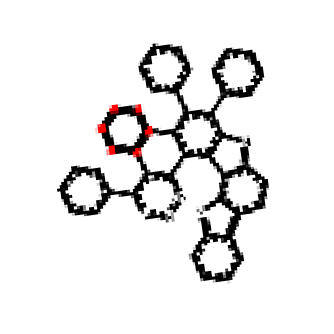 c1ccc(-c2nnnc(-c3c4c(c(-c5ccccc5)c(-c5ccccc5)c3-c3ccccc3)N=c3ccc5c(c3-4)N=c3ccccc3=5)c2-c2ccccc2)cc1